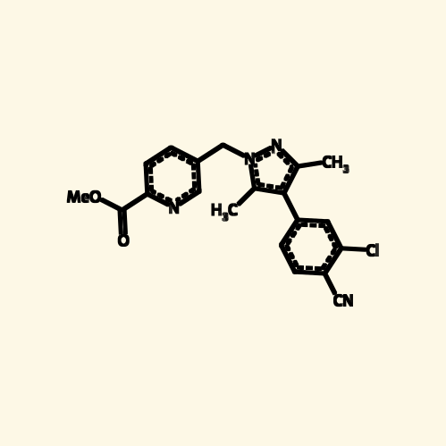 COC(=O)c1ccc(Cn2nc(C)c(-c3ccc(C#N)c(Cl)c3)c2C)cn1